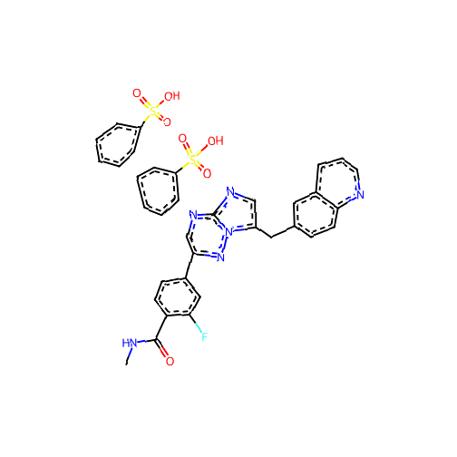 CNC(=O)c1ccc(-c2cnc3ncc(Cc4ccc5ncccc5c4)n3n2)cc1F.O=S(=O)(O)c1ccccc1.O=S(=O)(O)c1ccccc1